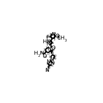 COc1cc(-c2cc(C(=O)N3CCC(C(N)=O)CC34CC4[C@H]3CCN(c4ncc(C#N)cn4)C3)n[nH]2)c(F)cn1